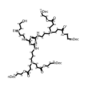 CCCCCCCCCCCCOC(=O)CCN(CCCNc1nc(NCCCN(CCC(=O)OCCCCCCCCCCCC)CCC(=O)OCCCCCCCCCCCC)nc(NCCN(CC)CCO)n1)CCC(=O)OCCCCCCCCCCCC